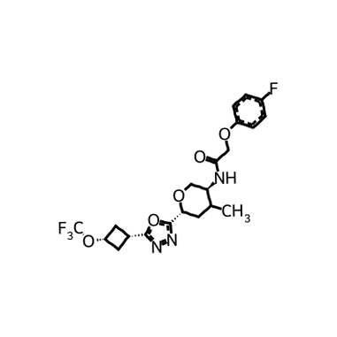 CC1C[C@H](c2nnc([C@H]3C[C@@H](OC(F)(F)F)C3)o2)OC[C@H]1NC(=O)COc1ccc(F)cc1